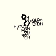 CCOC1=NCCNC(c2ccccc2)=C1.OB(O)F.OB(O)F.OB(O)F.OB(O)F